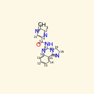 Cc1cnc(C(=O)NC2=Nc3ccccc3C3=NCCN23)cn1